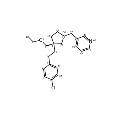 CCOC[C@@]1(CCc2ccc(Cl)cc2)CCN(Cc2cccnc2)C1